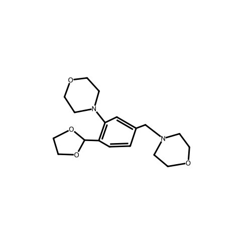 c1cc(C2OCCO2)c(N2CCOCC2)cc1CN1CCOCC1